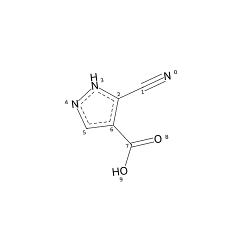 N#Cc1[nH]ncc1C(=O)O